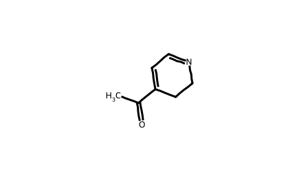 CC(=O)C1=CC=NCC1